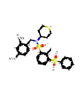 COc1ccc(CN(C2CCSCC2)S(=O)(=O)c2cccc(S(=O)(=O)c3ccccc3)c2C)c(OC)c1